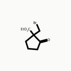 CCOC(=O)C1(CBr)CCCC1=O